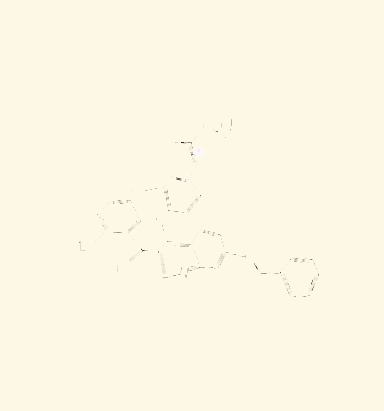 CCc1cc(/C=C(\C)C(=O)O)ccc1Oc1c(C(=O)c2ccccc2CC)cnc2cc(OCc3ccccc3)ccc12